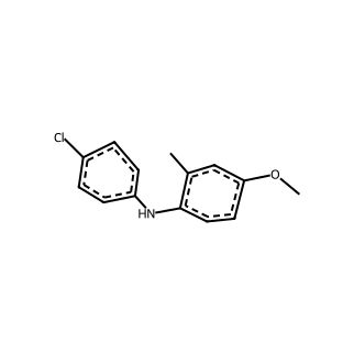 COc1ccc(Nc2ccc(Cl)cc2)c(C)c1